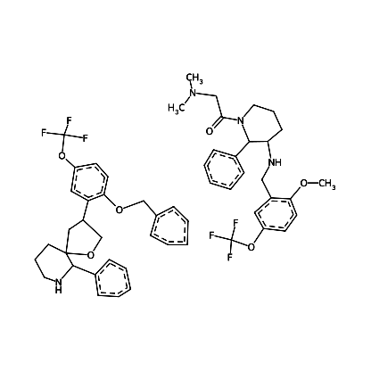 COc1ccc(OC(F)(F)F)cc1CNC1CCCN(C(=O)CN(C)C)C1c1ccccc1.FC(F)(F)Oc1ccc(OCc2ccccc2)c(C2COC3(CCCNC3c3ccccc3)C2)c1